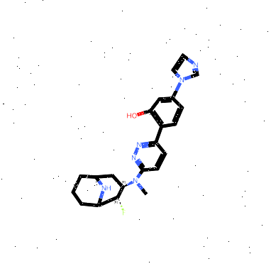 CN(c1ccc(-c2ccc(-n3ccnc3)cc2O)nn1)[C@@H]1CC2CCCC(N2)[C@H]1F